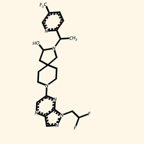 CC(c1ccc(C(F)(F)F)cn1)N1CC2(CCN(c3cnc4cnn(CC(F)F)c4n3)CC2)CC1O